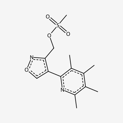 Cc1nc(-c2conc2COS(C)(=O)=O)c(C)c(C)c1C